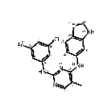 Cc1cnc(Nc2cc(Cl)cc(Br)c2)nc1Nc1ccc2c(c1)NCO2